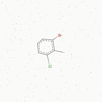 [CH2]c1c(Cl)cccc1Br